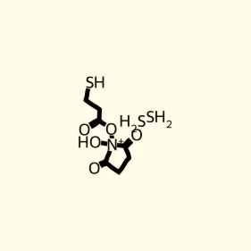 O=C(CCS)O[N+]1(O)C(=O)CCC1=O.S.S